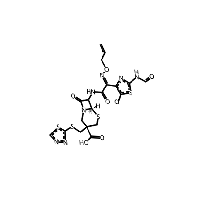 C=CCON=C(C(=O)NC1C(=O)N2CC(CSc3nncs3)(C(=O)O)CS[C@H]12)c1nc(NC=O)sc1Cl